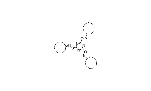 C1CCCCC(=NOc2nc(ON=C3CCCCCCCC3)nc(ON=C3CCCCCCCC3)n2)CCC1